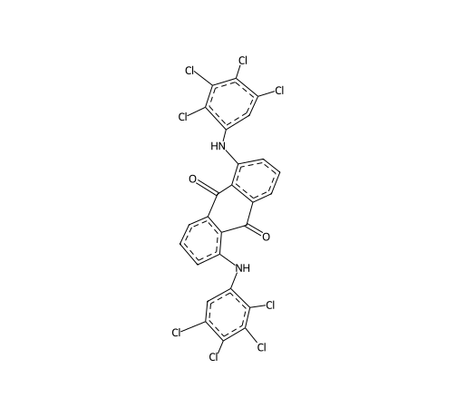 O=C1c2cccc(Nc3cc(Cl)c(Cl)c(Cl)c3Cl)c2C(=O)c2cccc(Nc3cc(Cl)c(Cl)c(Cl)c3Cl)c21